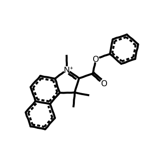 C[N+]1=C(C(=O)Oc2ccccc2)C(C)(C)c2c1ccc1ccccc21